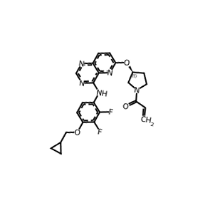 C=CC(=O)N1CC[C@H](Oc2ccc3ncnc(Nc4ccc(OCC5CC5)c(F)c4F)c3n2)C1